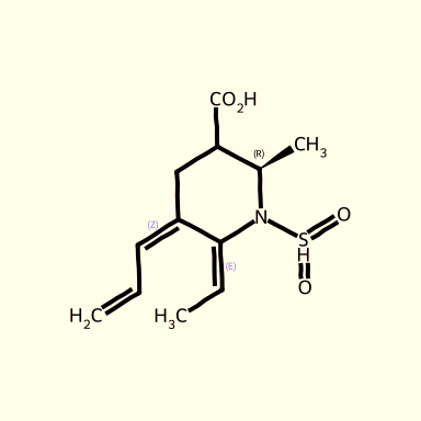 C=C/C=C1/CC(C(=O)O)[C@@H](C)N([SH](=O)=O)/C1=C/C